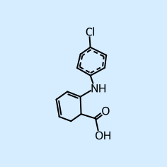 O=C(O)C1CC=CC=C1Nc1ccc(Cl)cc1